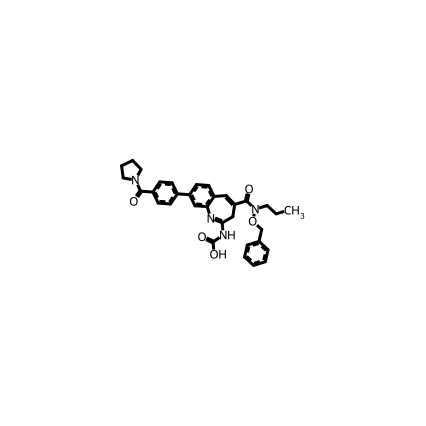 CCCN(OCc1ccccc1)C(=O)C1=Cc2ccc(-c3ccc(C(=O)N4CCCC4)cc3)cc2N=C(NC(=O)O)C1